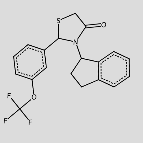 O=C1CSC(c2cccc(OC(F)(F)F)c2)N1C1CCc2ccccc21